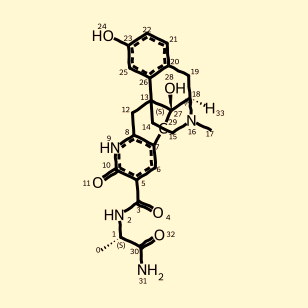 C[C@H](NC(=O)c1cc2c([nH]c1=O)CC13CCN(C)[C@H](Cc4ccc(O)cc41)[C@]3(O)C2)C(N)=O